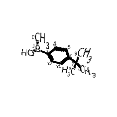 CB(O)c1ccc(C(C)(C)C)cc1